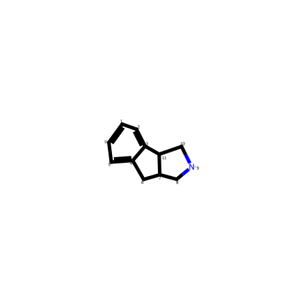 c1ccc2c(c1)CC1C[N]CC21